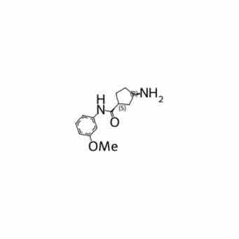 COc1cccc(NC(=O)[C@H]2CC[C@@H](N)C2)c1